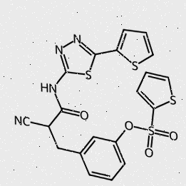 N#CC(Cc1cccc(OS(=O)(=O)c2cccs2)c1)C(=O)Nc1nnc(-c2cccs2)s1